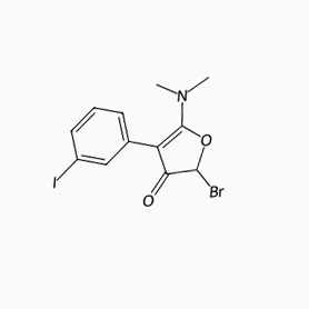 CN(C)C1=C(c2cccc(I)c2)C(=O)C(Br)O1